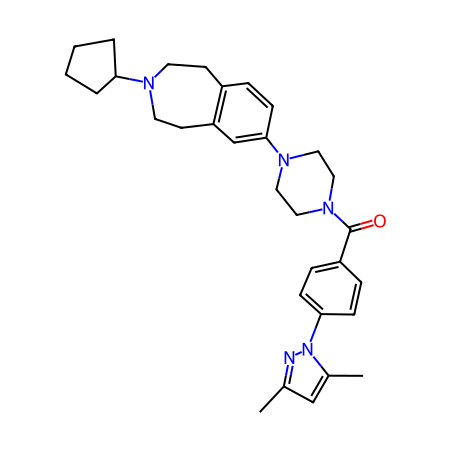 Cc1cc(C)n(-c2ccc(C(=O)N3CCN(c4ccc5c(c4)CCN(C4CCCC4)CC5)CC3)cc2)n1